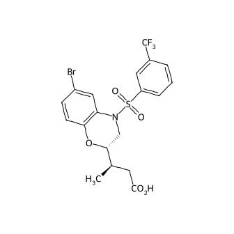 C[C@H](CC(=O)O)[C@H]1CN(S(=O)(=O)c2cccc(C(F)(F)F)c2)c2cc(Br)ccc2O1